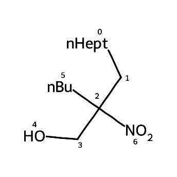 CCCCCCCCC(CO)(CCCC)[N+](=O)[O-]